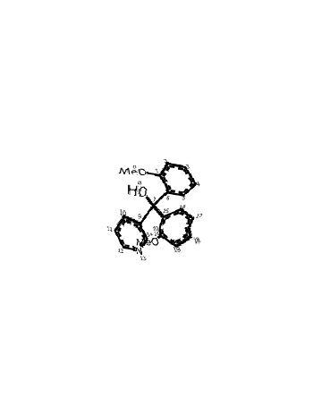 COc1ccccc1C(O)(c1cccnc1)c1ccccc1OC